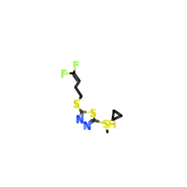 C[SH](c1nnc(SCCC=C(F)F)s1)C1CC1